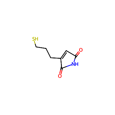 O=C1C=C(CCCS)C(=O)N1